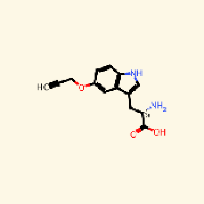 C#CCOc1ccc2[nH]cc(C[C@H](N)C(=O)O)c2c1